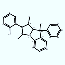 Cc1ccccc1N1C(C)N2c3ccccc3C(C)(c3ccccc3)C2[C@@H]1C